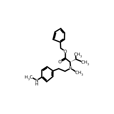 CNc1ccc(CCN(C)[C@H](C(=O)OCc2ccccc2)C(C)C)cc1